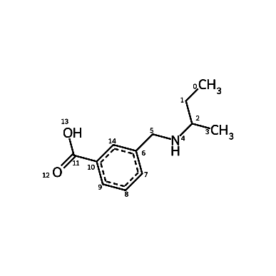 CCC(C)NCc1cccc(C(=O)O)c1